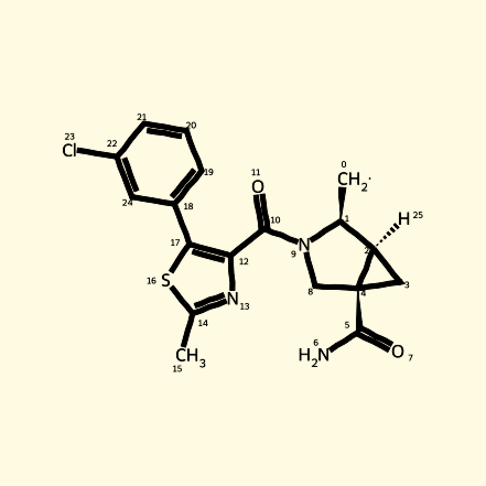 [CH2][C@H]1[C@H]2C[C@]2(C(N)=O)CN1C(=O)c1nc(C)sc1-c1cccc(Cl)c1